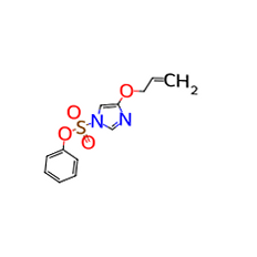 C=CCOc1cn(S(=O)(=O)Oc2ccccc2)cn1